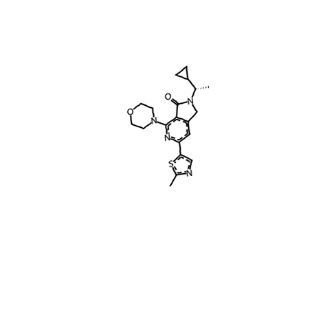 Cc1ncc(-c2cc3c(c(N4CCOCC4)n2)C(=O)N([C@@H](C)C2CC2)C3)s1